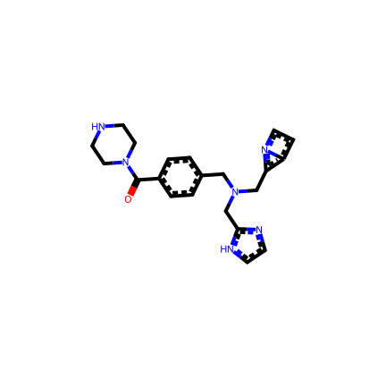 O=C(c1ccc(CN(Cc2ncc[nH]2)Cc2c3ccn2-3)cc1)N1CCNCC1